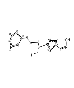 Cl.O/N=C\c1cnc(CCCCc2cccnc2)s1